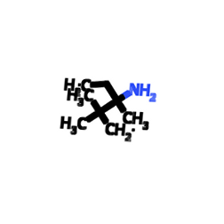 [CH2]CC(C)(N)C([CH2])(C)C